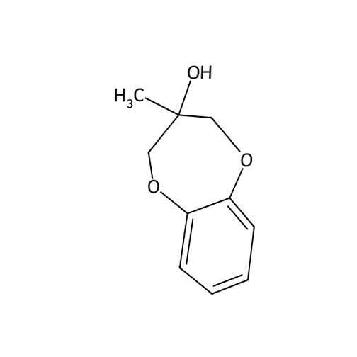 CC1(O)COc2ccccc2OC1